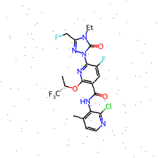 CCn1c(CF)nn(-c2nc(O[C@@H](C)C(F)(F)F)c(C(=O)Nc3c(C)ccnc3Cl)cc2F)c1=O